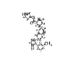 Cc1cccc(-c2[nH]cnc2-c2ccc3ncc(-c4ccnc(C(=O)O[C@H]5CCNC5)c4)cc3c2)n1